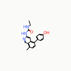 CCNC(=O)Nc1cc2c(-c3ccc(O)cc3)ccc(C)c2cn1